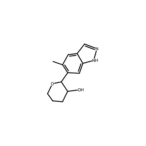 Cc1cc2cn[nH]c2cc1C1OCCCC1O